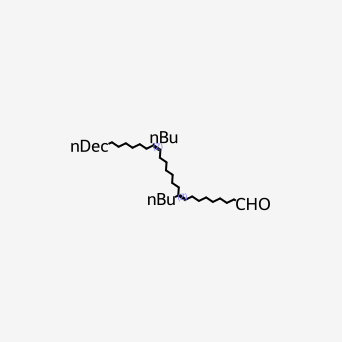 CCCCCCCCCCCCCCCC/C(=C\CCCCCC/C(=C\CCCCCCCC=O)CCCC)CCCC